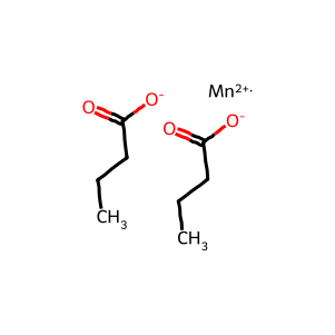 CCCC(=O)[O-].CCCC(=O)[O-].[Mn+2]